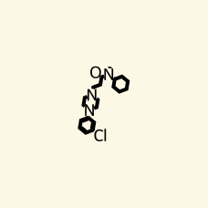 CN(C(=O)CCN1CCN(c2cccc(Cl)c2)CC1)C1CCCCC1